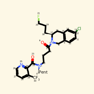 CCC[C@H](C)N(CCCC(=O)N1Cc2ccc(Cl)cc2C[C@@H]1CCCF)C(=O)c1ncccc1C(F)(F)F